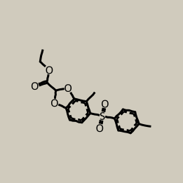 CCOC(=O)C1Oc2ccc(S(=O)(=O)c3ccc(C)cc3)c(C)c2O1